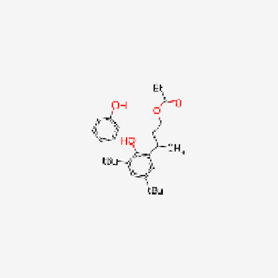 CCC(=O)OCCC(C)c1cc(C(C)(C)C)cc(C(C)(C)C)c1O.Oc1ccccc1